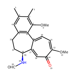 COc1c(C)c(C)cc2c1-c1ccc(OC)c(=O)cc1[C@@H](NC=O)CC2